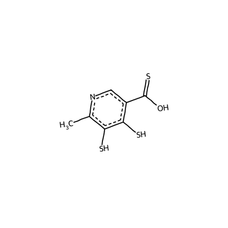 Cc1ncc(C(O)=S)c(S)c1S